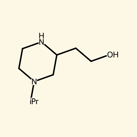 CC(C)N1CCNC(CCO)C1